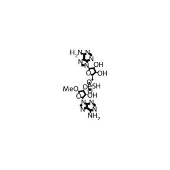 CO[C@H]1O[C@@H](n2cnc3c(N)ncnc32)[C@@H](O)[C@H]1OP(=O)(S)OC[C@H]1O[C@@H](n2cnc3c(N)ncnc32)[C@@H](O)[C@H]1O